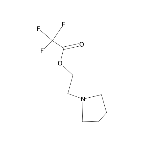 O=C(OCCN1CCCC1)C(F)(F)F